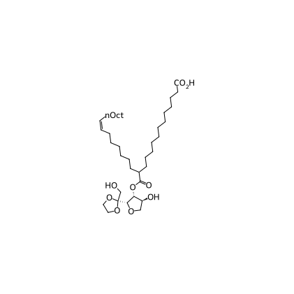 CCCCCCCC/C=C\CCCCCCC(CCCCCCCCCCCC(=O)O)C(=O)O[C@@H]1[C@@H](O)CO[C@@H]1C1(CO)OCCO1